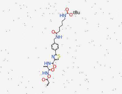 C=CC(=O)ONC(=O)C(=C)NC(=O)c1csc(-c2ccc(CNC(=O)CCCCCNC(=O)OC(C)(C)C)cc2)n1